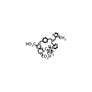 CN(C)S(=O)(=O)n1ccnc1CN(Cc1ccc(CN2CC3(CCN(C(=O)O)CC3)C[C@@H]2C(=O)O)cc1)Cc1nccn1C